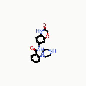 O=C1COc2cc(NC(=O)c3ccccc3N3CCNCC3)ccc2N1